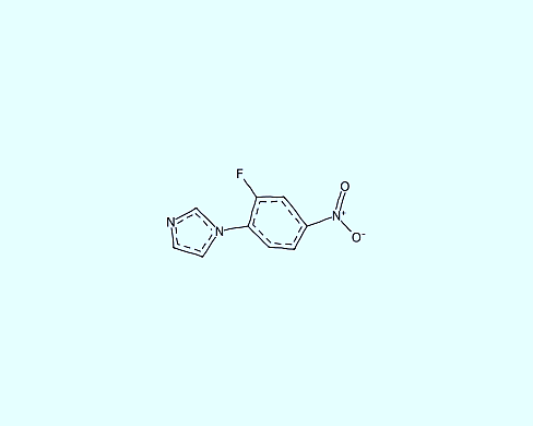 O=[N+]([O-])c1ccc(-n2ccnc2)c(F)c1